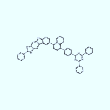 c1ccc(-c2nc(-c3ccccc3)nc(-c3ccc(-c4ccc(-c5ccc6oc7cc8oc(-c9ccccc9)nc8cc7c6c5)c5ccccc45)cc3)n2)cc1